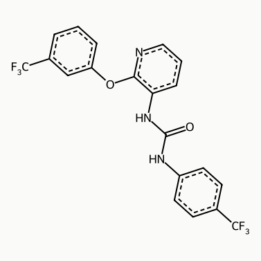 O=C(Nc1ccc(C(F)(F)F)cc1)Nc1cccnc1Oc1cccc(C(F)(F)F)c1